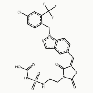 O=C(O)NS(=O)(=O)NCCN1C(=O)SC(=Cc2ccc3c(cnn3Cc3ccc(Cl)cc3C(F)(F)F)c2)C1=O